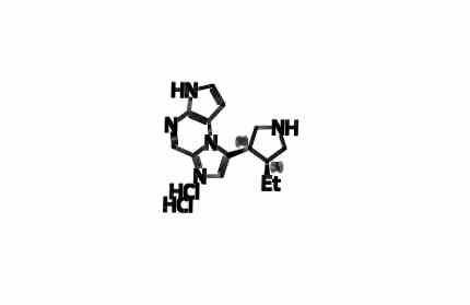 CC[C@@H]1CNC[C@@H]1c1cnc2cnc3[nH]ccc3n12.Cl.Cl